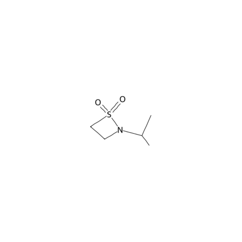 CC(C)N1CCS1(=O)=O